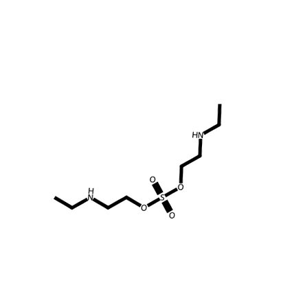 CCNCCOS(=O)(=O)OCCNCC